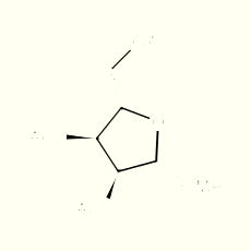 CO[C@H]1O[C@@H](COC(C)=O)[C@H](OC(C)=O)[C@@H]1OC(C)=O